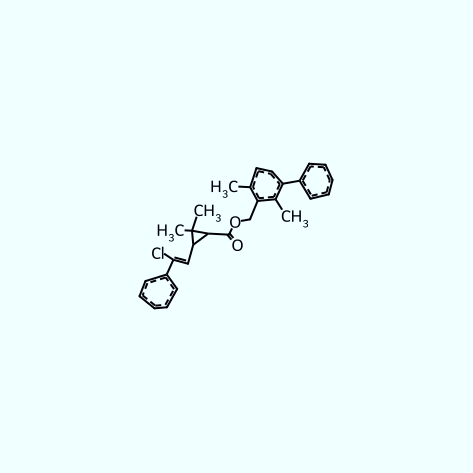 Cc1ccc(-c2ccccc2)c(C)c1COC(=O)C1C(C=C(Cl)c2ccccc2)C1(C)C